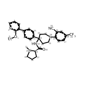 CCOc1ncccc1-c1ccc(C2(NC(=O)[C@H]3CCCN3C)CCN(c3ccc(C(F)(F)F)cc3C#N)CC2)cc1